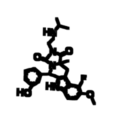 COc1ccc2[nH]c3c(c2c1F)CC1(C)C(=O)N(CCNC(C)C)C(=O)N1C3c1cccc(O)c1